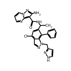 CC(NC(=O)c1c(N)nn2cccnc12)c1cc(Cl)c2cnn(Cc3cc[nH]n3)c2c1-c1ccccc1